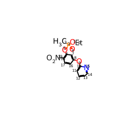 CCOP(C)(=O)Oc1cc(Oc2ccccn2)ccc1[N+](=O)[O-]